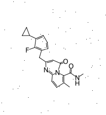 CNC(=O)c1c(C)ccc2nc(Cc3cccc(C4CC4)c3F)cc(=O)n12